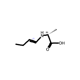 CC/C=C/N[C@H](C)C(=O)O